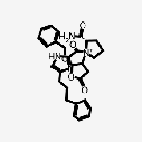 NC(=O)[C@@H]1CCC[N+]1(C(=O)c1nc(CCCc2ccccc2)c[nH]1)C1CC(=O)OC1OCc1ccccc1